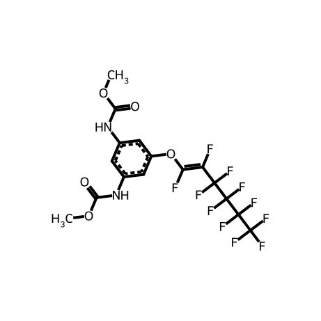 COC(=O)Nc1cc(NC(=O)OC)cc(OC(F)=C(F)C(F)(F)C(F)(F)C(F)(F)C(F)(F)F)c1